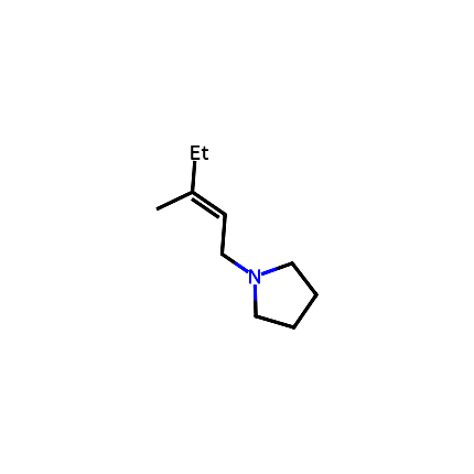 CC/C(C)=C/CN1CCCC1